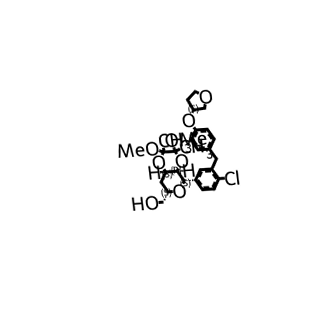 COC1(C)O[C@@H]2[C@H](C[C@@H](CO)O[C@H]2c2ccc(Cl)c(Cc3ccc(O[C@H]4CCOC4)cc3)c2)OC1(C)OC